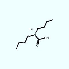 CCCCN(CCCC)C(O)=S.[Fe]